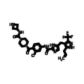 C=CCc1[nH]nc(C(F)(F)F)c1Cc1cnc(C(=O)Nc2ccc(C(=O)N3CCN(C(=O)NC4CNC4)CC3)c(Cl)c2)[nH]1